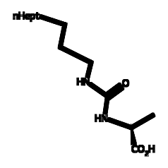 CCCCCCCCCCNC(=O)N[C@@H](C)C(=O)O